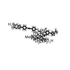 COC(=O)N[C@H](C(=O)N[C@@H](Cc1ccc(C#Cc2ccc(-c3cn4c(n3)CN(C)C(=O)C4)cc2)cc1)[C@@H](O)CN(Cc1c(F)cc(-c2cnn(C(F)F)c2)cc1F)NC(=O)[C@@H](NC(=O)O)C(C)(C)C(F)(F)F)C(C)(C)C(F)(F)F